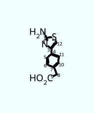 Nc1nc(-c2ccc(CC(=O)O)cc2)cs1